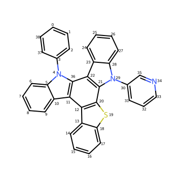 c1ccc(-n2c3ccccc3c3c4c5ccccc5sc4c4c(c5ccccc5n4-c4cccnc4)c32)cc1